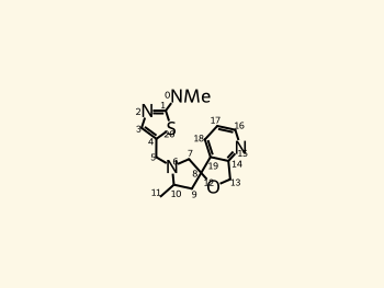 CNc1ncc(CN2CC3(CC2C)OCc2ncccc23)s1